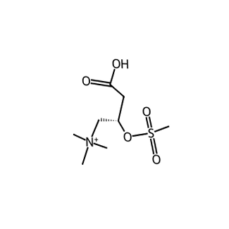 C[N+](C)(C)C[C@H](CC(=O)O)OS(C)(=O)=O